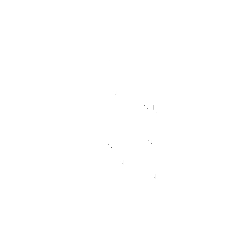 Nc1nnc(-c2nc(Cl)ccc2Cl)c(N)n1